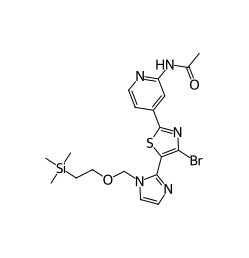 CC(=O)Nc1cc(-c2nc(Br)c(-c3nccn3COCC[Si](C)(C)C)s2)ccn1